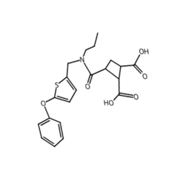 CCCN(Cc1ccc(Oc2ccccc2)s1)C(=O)C1CC(C(=O)O)C1C(=O)O